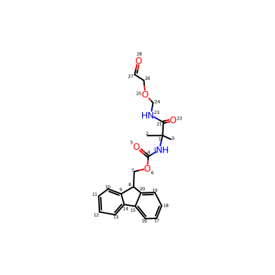 CC(C)(NC(=O)OCC1c2ccccc2-c2ccccc21)C(=O)NCOCC=O